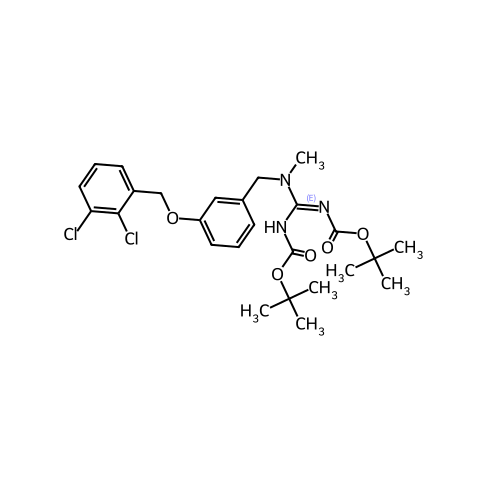 CN(Cc1cccc(OCc2cccc(Cl)c2Cl)c1)/C(=N/C(=O)OC(C)(C)C)NC(=O)OC(C)(C)C